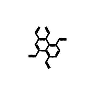 C=Cc1cc(C=C)c2c(C=C)ccc(C=C)c2c1C=C